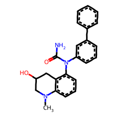 CN1CC(O)Cc2c1cccc2N(C(N)=O)c1cccc(-c2ccccc2)c1